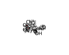 C[C@@H](CCN(C)S(=O)(=O)C1CC1)N1C(=O)[C@@](CCN2CCOCC2)(CC(=O)O)C[C@H](c2cccc(Cl)c2)[C@H]1c1ccc(Cl)cc1